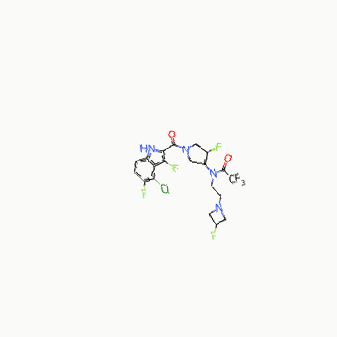 O=C(c1[nH]c2ccc(F)c(Cl)c2c1F)N1C[C@@H](F)[C@@H](N(CCN2CC(F)C2)C(=O)C(F)(F)F)C1